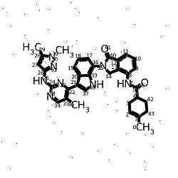 CC1=CCC(C(=O)Nc2cccc3c2CN(c2cccc4c(-c5nc(Nc6cc(C)n(C)n6)ncc5C)c[nH]c24)C3=O)CC1